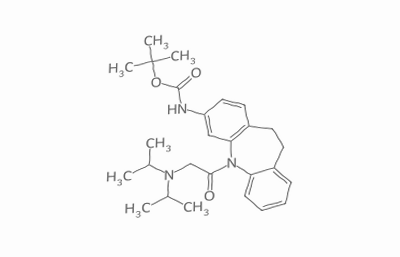 CC(C)N(CC(=O)N1c2ccccc2CCc2ccc(NC(=O)OC(C)(C)C)cc21)C(C)C